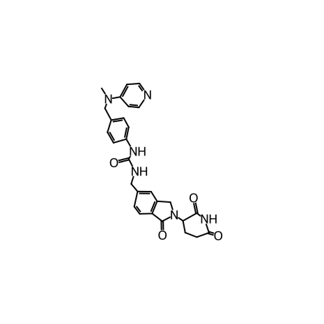 CN(Cc1ccc(NC(=O)NCc2ccc3c(c2)CN(C2CCC(=O)NC2=O)C3=O)cc1)c1ccncc1